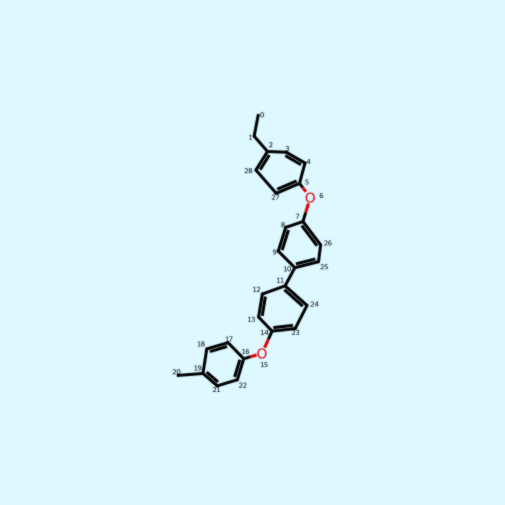 CCc1ccc(Oc2ccc(-c3ccc(Oc4ccc(C)cc4)cc3)cc2)cc1